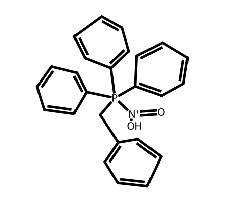 O=[N+](O)P(Cc1ccccc1)(c1ccccc1)(c1ccccc1)c1ccccc1